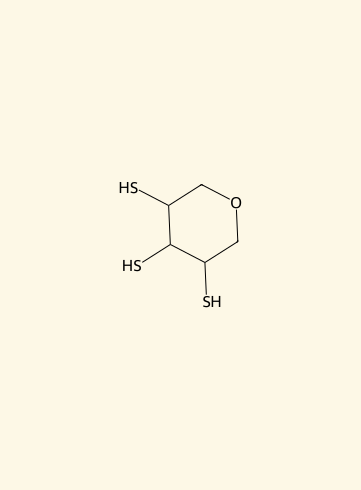 SC1COCC(S)C1S